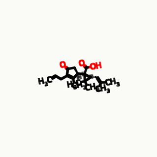 C=CCC1=C(C)[C@H]([C@]2(C(=O)O)[C@H](C=C(C)C)C2(C)C)CC1=O